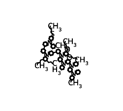 CCCCOc1cc(OCCCC)cc(N(c2cccc(-c3ccc(N(c4cc(CCCC)cc(CCCC)c4)c4cccc(-c5cccc(N(c6ccc(SCCCC)cc6)c6cccc(C)c6)c5)c4)cc3)c2)c2cccc(N(c3ccccc3)c3cccc(N(c4ccccc4)c4cccc(N(c5ccccc5)c5ccc(C)cc5)c4)c3)c2)c1